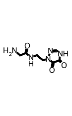 NCC(=O)NCCn1n[c][nH]c(=O)c1=O